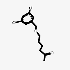 CC(=O)CCCCOCc1cc(Cl)cc(Cl)c1